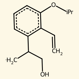 [CH2]C(CO)c1cccc(OC(C)C)c1C=C